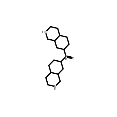 O=[PH](C1CCC2CCNCC2C1)C1CCC2CCNCC2C1